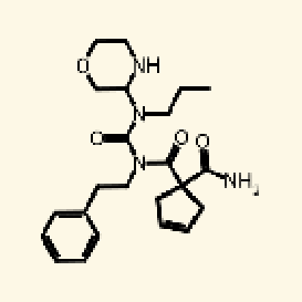 CCCN(C(=O)N(CCc1ccccc1)C(=O)C1(C(N)=O)CC=CC1)C1COCCN1